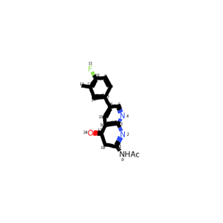 CC(=O)NC1=Nc2ncc(-c3ccc(F)c(C)c3)cc2C(=O)C1